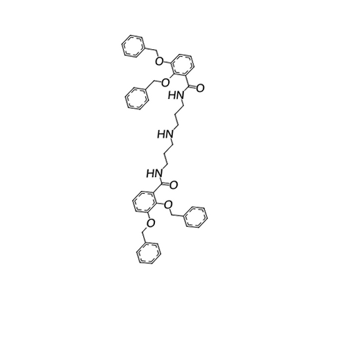 O=C(NCCCNCCCNC(=O)c1cccc(OCc2ccccc2)c1OCc1ccccc1)c1cccc(OCc2ccccc2)c1OCc1ccccc1